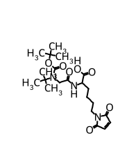 CC(C)(C)OC(=O)N(CC(=O)NC(CCCCN1C(=O)C=CC1=O)C(=O)O)C(C)(C)C